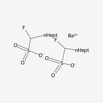 CCCCCCCC(F)S(=O)(=O)[O-].CCCCCCCC(F)S(=O)(=O)[O-].[Ba+2]